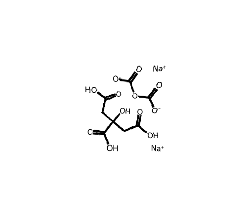 O=C(O)CC(O)(CC(=O)O)C(=O)O.O=C([O-])OC(=O)[O-].[Na+].[Na+]